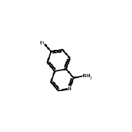 CCc1ccc2c(N)nccc2c1